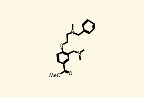 COC(=O)c1ccc(OCCN(C)Cc2ccccc2)c(CN(C)C)c1